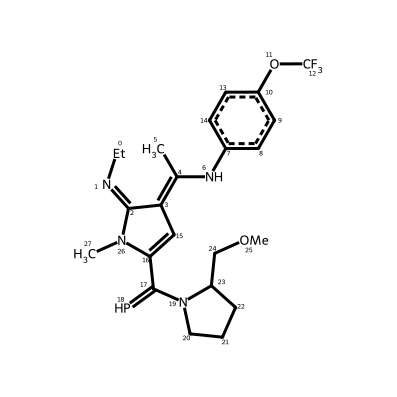 CC/N=C1\C(=C(/C)Nc2ccc(OC(F)(F)F)cc2)C=C(C(=P)N2CCCC2COC)N1C